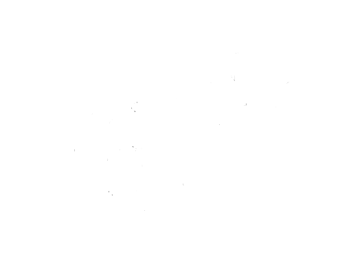 O=C1Nc2ccccc2-n2c(-c3cccc(CN4CCOCC4)c3)nc3cccc1c32